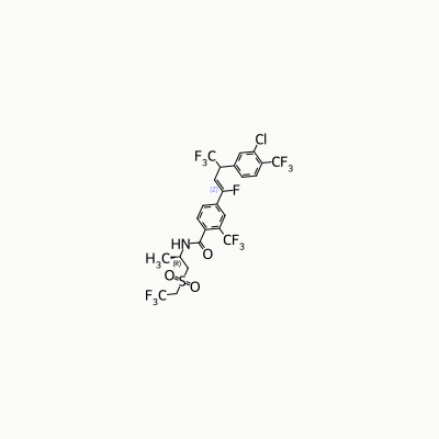 C[C@H](CS(=O)(=O)CC(F)(F)F)NC(=O)c1ccc(/C(F)=C/C(c2ccc(C(F)(F)F)c(Cl)c2)C(F)(F)F)cc1C(F)(F)F